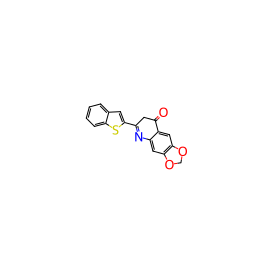 O=C1CC(c2cc3ccccc3s2)=Nc2cc3c(cc21)OCO3